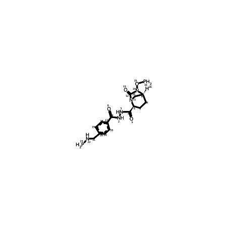 O=C(NNC(=O)[C@@H]1CC[C@H]2CN1C(=O)N2OP)c1ccc(CNP)cc1